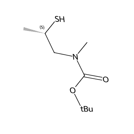 C[C@H](S)CN(C)C(=O)OC(C)(C)C